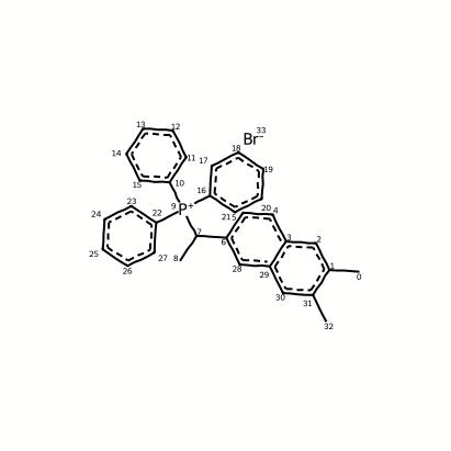 Cc1cc2ccc(C(C)[P+](c3ccccc3)(c3ccccc3)c3ccccc3)cc2cc1C.[Br-]